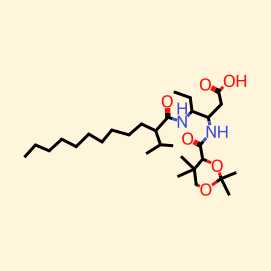 CCCCCCCCCCC(C(=O)NC(CC)C(CC(=O)O)NC(=O)C1OC(C)(C)OCC1(C)C)C(C)C